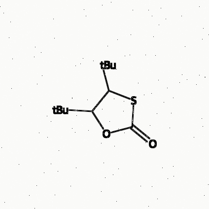 CC(C)(C)C1OC(=O)SC1C(C)(C)C